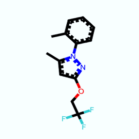 Cc1ccccc1-n1nc(OCC(F)(F)F)cc1C